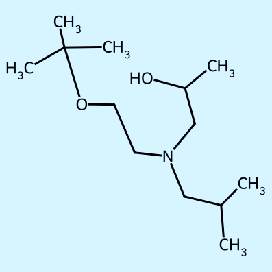 CC(C)CN(CCOC(C)(C)C)CC(C)O